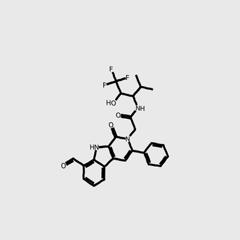 CC(C)C(NC(=O)Cn1c(-c2ccccc2)cc2c([nH]c3c(C=O)cccc32)c1=O)C(O)C(F)(F)F